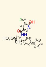 C[C@H](C[C@@H](Cc1ccc(-c2ccccc2)cc1)NC(=O)c1cnc(O)c(CF)c1)C(=O)O